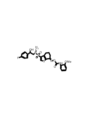 COc1ccccc1NC(=O)ON=C1CCCc2c(S(=O)(=O)N(C)CC(O)c3ccc(F)cc3)csc21